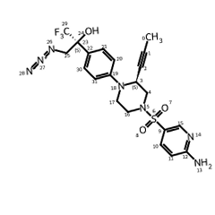 CC#C[C@H]1CN(S(=O)(=O)c2ccc(N)nc2)CCN1c1ccc([C@](O)(CN=[N+]=[N-])C(F)(F)F)cc1